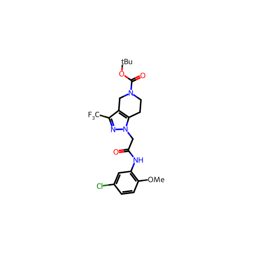 COc1ccc(Cl)cc1NC(=O)Cn1nc(C(F)(F)F)c2c1CCN(C(=O)OC(C)(C)C)C2